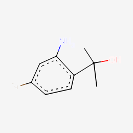 CC(C)(O)c1ccc(Br)cc1N